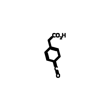 O=C=C1C=CC(CC(=O)O)=CC1